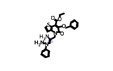 CCOC(=O)c1c(OCc2ccccc2)c(=O)n(C/C(N)=C/N(N)c2ccccc2)c2ccsc12